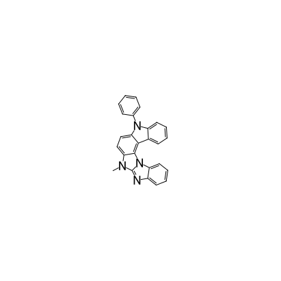 Cn1c2ccc3c(c4ccccc4n3-c3ccccc3)c2n2c3ccccc3nc12